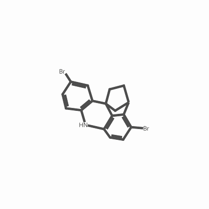 Brc1ccc2c(c1)C13CCC(C1)c1c(Br)ccc(c13)N2